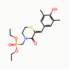 CCOP(=O)(CN1CCSC(=Cc2cc(C)c(O)c(C)c2)C1=O)OCC